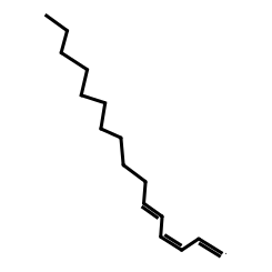 [CH]=C/C=C\C=C\CCCCCCCCCC